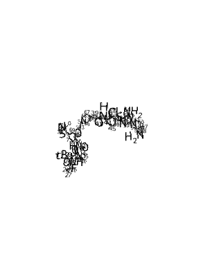 Cc1ncsc1-c1ccc(CNC(=O)[C@@H]2CCCN2C(=O)[C@@H](NC(=O)C2(F)CC2)C(C)(C)C)c(OCCCN2CCC(CC(=O)Nc3cccc(Sc4ncc(N5CCC(C)(CN)CC5)nc4N)c3Cl)CC2)c1